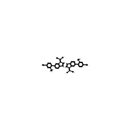 N#CC(C#N)=C1c2cc(-c3ccc(C#N)cc3C(F)(F)F)ccc2-c2nc3c(nc21)-c1ccc(-c2ccc(C#N)cc2C(F)(F)F)cc1C3=C(C#N)C#N